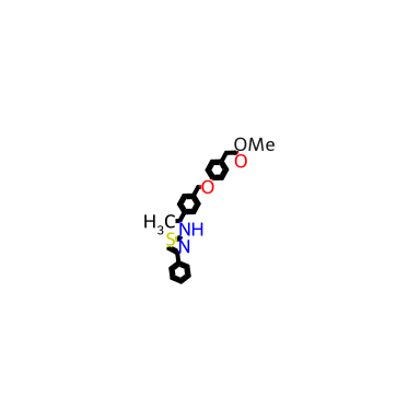 COC(=O)Cc1ccc(OCc2ccc(C(C)Nc3nc(-c4ccccc4)cs3)cc2)cc1